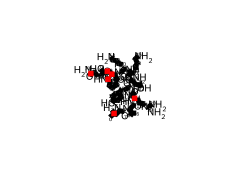 CC(C)C[C@H](N)C(=O)N[C@H](C(=O)N[C@@H](CCCN=C(N)N)C(=O)N[C@@H](Cc1ccc(O)cc1)C(=O)N[C@H](C(=O)N[C@@H](CCCCN)C(=O)N[C@@H](CCCCN)C(=O)N[C@H](C(=O)N1CCC[C@H]1C(=O)N[C@@H](CCC(N)=O)C(=O)O)C(C)C)[C@@H](C)O)C(C)C